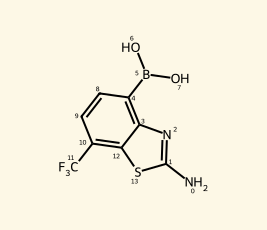 Nc1nc2c(B(O)O)ccc(C(F)(F)F)c2s1